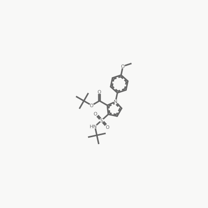 COc1ccc(-n2ccc(S(=O)(=O)NC(C)(C)C)c2C(=O)OC(C)(C)C)cc1